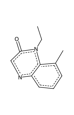 CCn1c(=O)cnc2cccc(C)c21